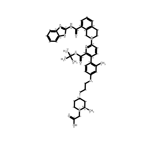 Cc1cc(OCCC[C@H]2CCN(CC(=O)O)[C@H](C)C2)ccc1-c1ccc(N2CCc3cccc(C(=O)Nc4nc5ccccc5s4)c3C2)nc1C(=O)OC(C)(C)C